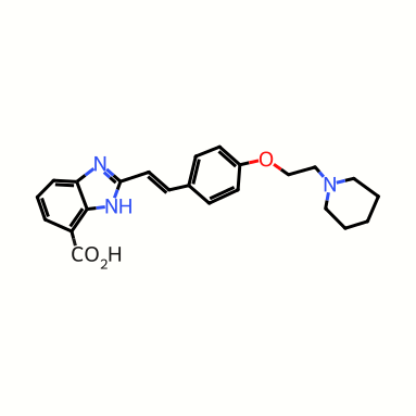 O=C(O)c1cccc2nc(C=Cc3ccc(OCCN4CCCCC4)cc3)[nH]c12